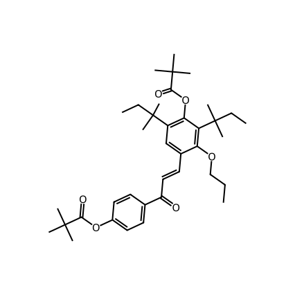 CCCOc1c(C=CC(=O)c2ccc(OC(=O)C(C)(C)C)cc2)cc(C(C)(C)CC)c(OC(=O)C(C)(C)C)c1C(C)(C)CC